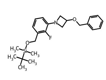 CC(C)(C)[Si](C)(C)OCc1cccc(N2CC(OCc3ccccc3)C2)c1F